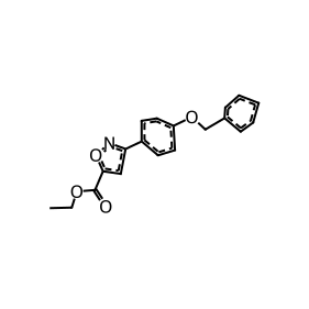 CCOC(=O)c1cc(-c2ccc(OCc3ccccc3)cc2)no1